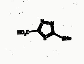 [CH2]Sc1nnc(C(=O)O)s1